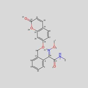 CNC(=O)C(=NOC)c1ccccc1COc1ccc2ccc(=O)oc2c1